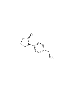 CC(C)(C)Cc1ccc(N2CCCC2=O)cc1